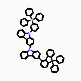 c1ccc(C2(c3ccccc3)c3ccccc3-c3c(-c4ccc5c(c4)c4ccccc4n5-c4ccc5c(c4)c4ccccc4n5-c4cccc([Si](c5ccccc5)(c5ccccc5)c5ccccc5)c4)cccc32)cc1